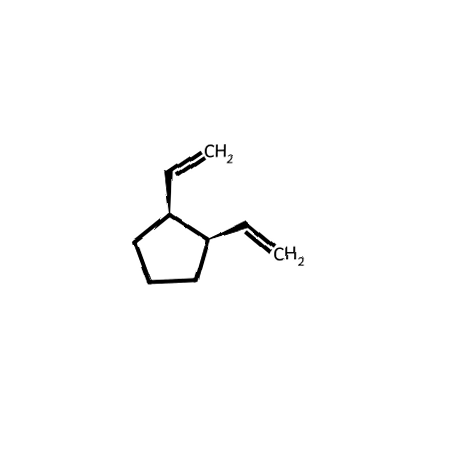 C=C[C@@H]1CCC[C@@H]1C=C